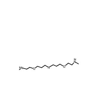 CNCCOCCC[N]CCCOCCNC